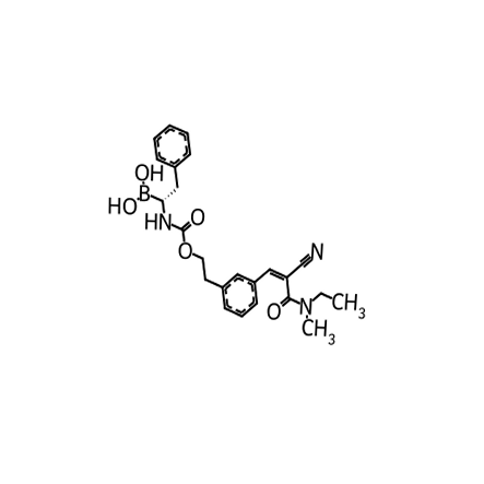 CCN(C)C(=O)C(C#N)=Cc1cccc(CCOC(=O)N[C@@H](Cc2ccccc2)B(O)O)c1